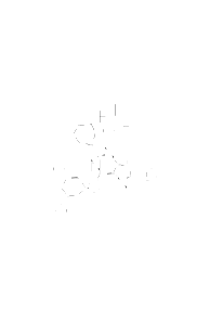 COc1ccc(Cn2c(-c3ccccc3OC(F)(F)F)nc3sc([S+](C)[O-])nc3c2=O)c(OC)c1